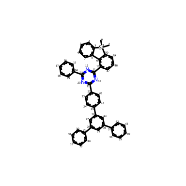 C[Si]1(C)c2ccccc2-c2c(-c3nc(-c4ccccc4)nc(-c4ccc(-c5cc(-c6ccccc6)cc(-c6ccccc6)c5)cc4)n3)cccc21